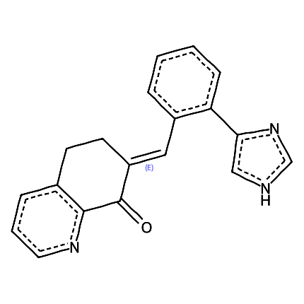 O=C1/C(=C/c2ccccc2-c2c[nH]cn2)CCc2cccnc21